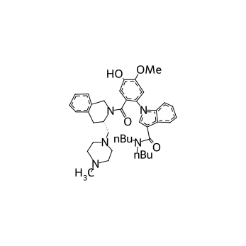 CCCCN(CCCC)C(=O)c1cn(-c2cc(OC)c(O)cc2C(=O)N2Cc3ccccc3C[C@H]2CN2CCN(C)CC2)c2ccccc12